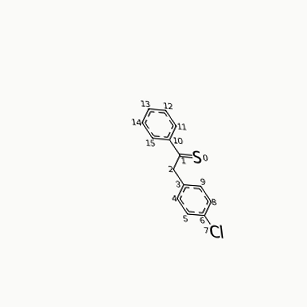 S=C(Cc1ccc(Cl)cc1)c1ccccc1